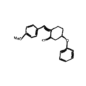 COc1ccc(/C=C2/CCC(Oc3ccccc3)CC2=O)cc1